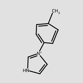 Cc1ccc(-[n+]2cc[nH]c2)cc1